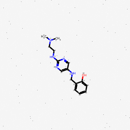 CN(C)CCNc1ncc(NCc2ccccc2O)cn1